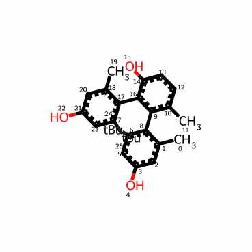 Cc1cc(O)cc(C(C)(C)C)c1-c1c(C)ccc(O)c1-c1c(C)cc(O)cc1C(C)(C)C